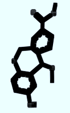 COC(=O)c1ccc2c(c1)COc1ccc(O)cc1C2OC